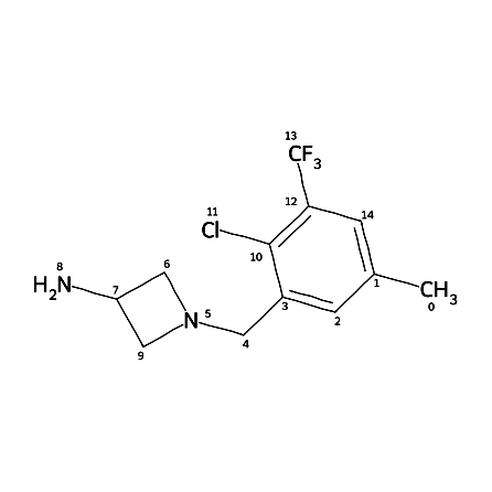 Cc1cc(CN2CC(N)C2)c(Cl)c(C(F)(F)F)c1